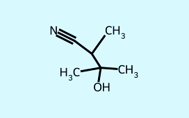 CC(C#N)C(C)(C)O